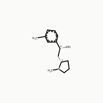 Cc1cccc([C@H](O)C[C@@H]2CCCN2C)c1